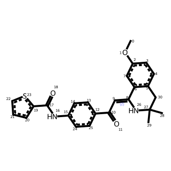 COc1ccc2c(c1)/C(=C/C(=O)c1ccc(NC(=O)c3cccs3)cc1)NC(C)(C)C2